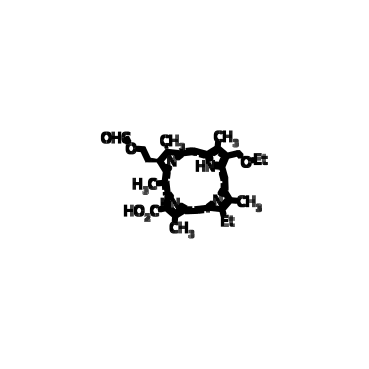 CCOCc1c(C)c2cc3nc(c(C)c4[nH]c(cc5nc(cc1[nH]2)C(C)=C5CC)c(C)c4C(=O)O)[C@@H](CCOC=O)[C@@H]3C